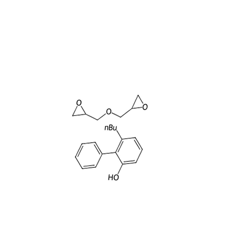 C(OCC1CO1)C1CO1.CCCCc1cccc(O)c1-c1ccccc1